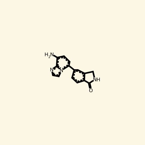 Nc1ccc(-c2ccc3c(c2)CNC3=O)n2ccnc12